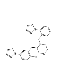 Clc1ccc(-n2nccn2)cc1C[C@@H]1COCCN1Cc1ccccc1-n1nccn1